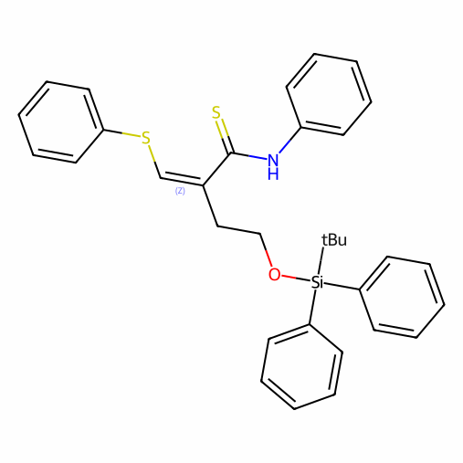 CC(C)(C)[Si](OCC/C(=C/Sc1ccccc1)C(=S)Nc1ccccc1)(c1ccccc1)c1ccccc1